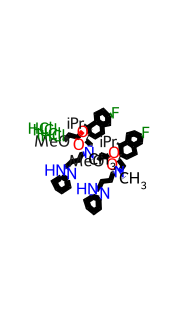 COCC(=O)O[C@]1(CCN(C)CCCc2nc3ccccc3[nH]2)CCc2cc(F)ccc2[C@@H]1C(C)C.COCC(=O)O[C@]1(CCN(C)CCCc2nc3ccccc3[nH]2)CCc2cc(F)ccc2[C@@H]1C(C)C.Cl.Cl.Cl.Cl